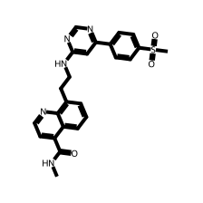 CNC(=O)c1ccnc2c(CCNc3cc(-c4ccc(S(C)(=O)=O)cc4)ncn3)cccc12